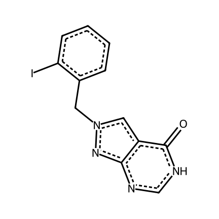 O=c1[nH]cnc2nn(Cc3ccccc3I)cc12